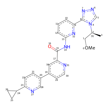 COC[C@H](C)n1cnnc1-c1cccc(NC(=O)c2cc(-c3ccc(C4CC4)nc3)ccn2)n1